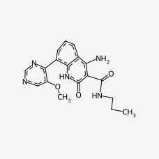 CCCNC(=O)c1c(N)c2cccc(-c3ncncc3OC)c2[nH]c1=O